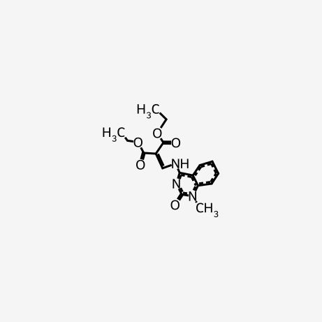 CCOC(=O)C(=CNc1nc(=O)n(C)c2ccccc12)C(=O)OCC